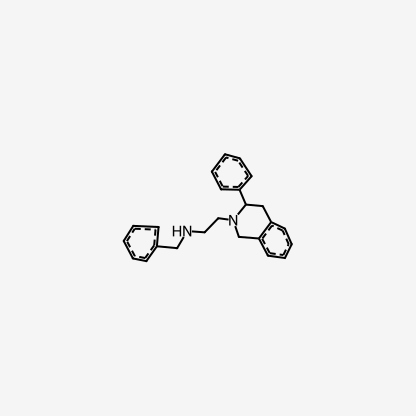 c1ccc(CNCCN2Cc3ccccc3CC2c2ccccc2)cc1